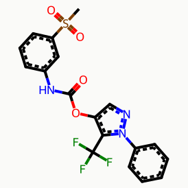 CS(=O)(=O)c1cccc(NC(=O)Oc2cnn(-c3ccccc3)c2C(F)(F)F)c1